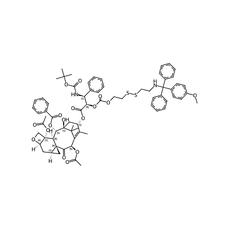 COc1ccc(C(NCCSSCCOC(=O)O[C@@H](C(=O)O[C@H]2C[C@@]3(O)[C@@H](OC(=O)c4ccccc4)[C@@H]4[C@]5(OC(C)=O)CO[C@@H]5C[C@@H]5C[C@@]54C(=O)[C@H](OC(C)=O)C(=C2C)C3(C)C)[C@@H](NC(=O)OC(C)(C)C)c2ccccc2)(c2ccccc2)c2ccccc2)cc1